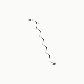 O=COCCCCCCCCCO